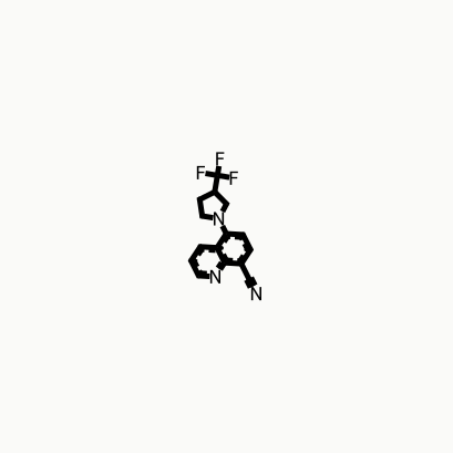 N#Cc1ccc(N2CCC(C(F)(F)F)C2)c2cccnc12